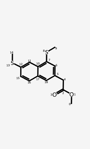 COC(=O)Cc1cc(SC)c2cc(SC)ccc2c1